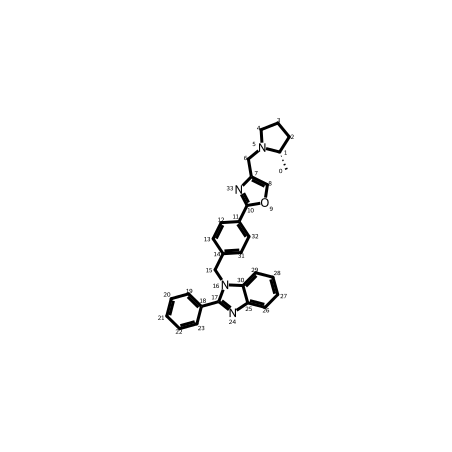 C[C@H]1CCCN1Cc1coc(-c2ccc(Cn3c(-c4ccccc4)nc4ccccc43)cc2)n1